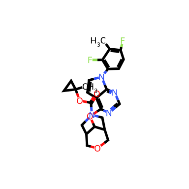 Cc1c(F)ccc(-n2ccc3c(OC4C5COCC4CN(C(=O)OC4(C)CC4)C5)ncnc32)c1F